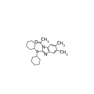 CC(=O)n1c(P(C2CCCCC2)C2CCCCC2)nc2cc(C)c(C)cc21